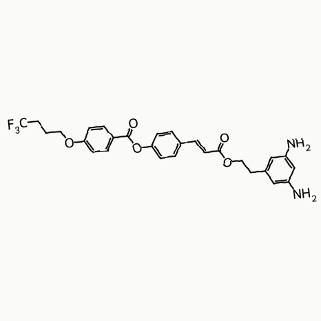 Nc1cc(N)cc(CCOC(=O)/C=C/c2ccc(OC(=O)c3ccc(OCCCC(F)(F)F)cc3)cc2)c1